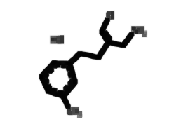 Cc1cccc(CCC(=CCl)CN)c1.Cl